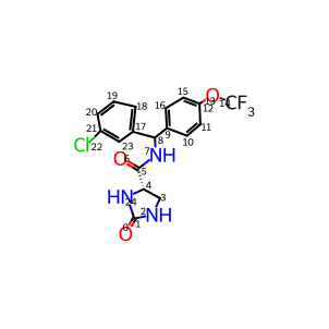 O=C1NC[C@@H](C(=O)NC(c2ccc(OC(F)(F)F)cc2)c2cccc(Cl)c2)N1